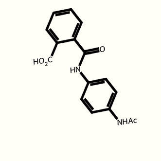 CC(=O)Nc1ccc(NC(=O)c2ccccc2C(=O)O)cc1